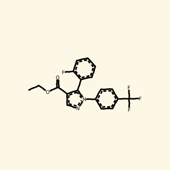 CCOC(=O)c1cnn(-c2ccc(C(F)(F)F)cc2)c1-c1ccccc1F